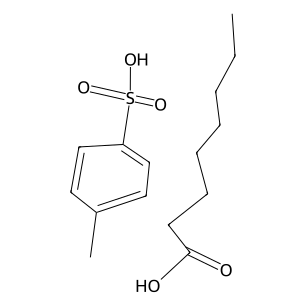 CCCCCCCC(=O)O.Cc1ccc(S(=O)(=O)O)cc1